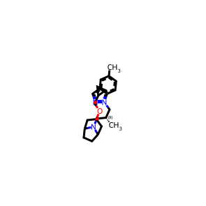 Cc1ccc2c(cnn2C[C@H](C)CN2C3CCC2CC(OCC2CC2)C3)c1